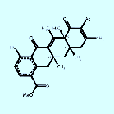 COC(=O)c1ccc(O)c2c1C[C@@]1(C)C[C@@]3(C)CC(C)=C(C(C)=O)C(=O)[C@@]3(C)C(C)=C1C2=O